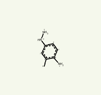 Cc1cc(NN)ccc1N